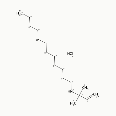 C=CC(C)(C)NCCCCCCCCCCCC.Cl